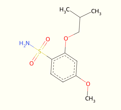 COc1ccc(S(N)(=O)=O)c(OCC(C)C)c1